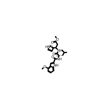 COC(=O)CC(NC(=O)[C@H](CC(C)C)NC(=O)c1cc2c(OC)cccc2[nH]1)c1cc[nH]n1